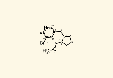 COC[C@@H]1CCCN1Cc1cncc(Br)c1